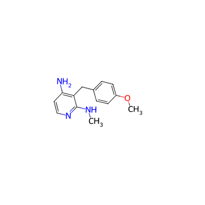 CNc1nccc(N)c1Cc1ccc(OC)cc1